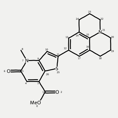 COC(=O)c1cc(=O)n(C)c2cc(-c3cc4c5c(c3)CCCN5CCC4)sc12